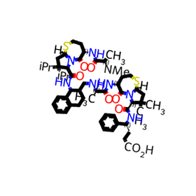 CN[C@@H](C)C(=O)N[C@H]1CCS[C@H]2CC(C(C)C)(C(C)C)C(C(=O)NC3c4ccccc4CCC3CN[C@@H](C)C(=O)N[C@H]3CCS[C@H]4CC(C)(C)[C@@H](C(=O)N[C@H](CCC(=O)O)c5ccccc5)N4C3=O)N2C1=O